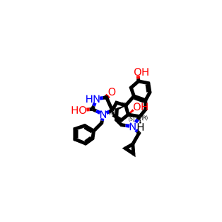 O=C1NC(O)N(Cc2ccccc2)[C@]12CC[C@@]1(O)[C@H]3CC4=C(CC(O)C=C4)[C@@]1(CCCN3CC1CC1)C2